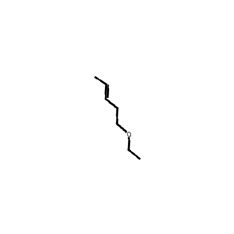 C[CH]OCC/C=C/C